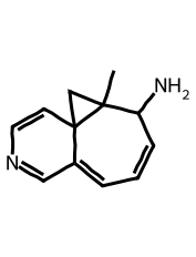 CC12CC13C=CN=CC3=CC=CC2N